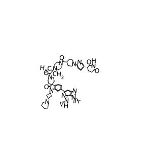 CC(C)n1cnc2cc(-c3ccc4c(c3)N(C3CC(N5CCCCC5)C3)C(=O)C43CCN(C(=O)C(C)(C)N4CCN(C(=O)C5CCN(c6ccc([C@H]7CCC(=O)NC7=O)cn6)CC5)CC4)CC3)nc(NC3CC3)c21